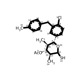 CC(=O)O[C@@H]1[C@@H](C)[C@H](c2ccc(Cl)c(Cc3ccc(C)cc3)c2)OC(S)[C@H]1C